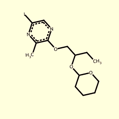 CCC(COc1ncc(I)nc1C)OC1CCCCO1